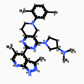 Cc1ccc(C(C)C)cc1N1CCc2nc(-c3c(C)cnc4[nH]nc(C)c34)nc(N3CC[C@@H](N(C)C)C3)c2C1